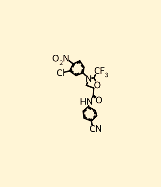 N#Cc1ccc(NC(=O)C2CN(c3ccc([N+](=O)[O-])c(Cl)c3)C(C(F)(F)F)O2)cc1